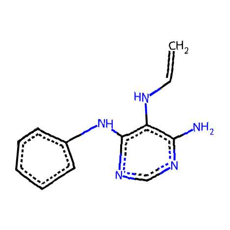 C=CNc1c(N)ncnc1Nc1ccccc1